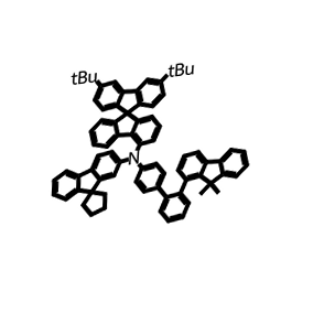 CC(C)(C)c1ccc2c(c1)-c1cc(C(C)(C)C)ccc1C21c2ccccc2-c2c(N(c3ccc(-c4ccccc4-c4cccc5c4C(C)(C)c4ccccc4-5)cc3)c3ccc4c(c3)C3(CCCC3)c3ccccc3-4)cccc21